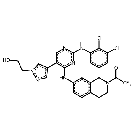 O=C(N1CCc2ccc(Nc3nc(Nc4cccc(Cl)c4Cl)ncc3-c3cnn(CCO)c3)cc2C1)C(F)(F)F